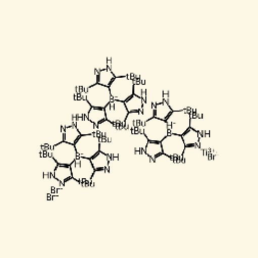 CC(C)(C)c1n[nH]c(C(C)(C)C)c1[BH-](c1c(C(C)(C)C)n[nH]c1C(C)(C)C)c1c(C(C)(C)C)n[nH]c1C(C)(C)C.CC(C)(C)c1n[nH]c(C(C)(C)C)c1[BH-](c1c(C(C)(C)C)n[nH]c1C(C)(C)C)c1c(C(C)(C)C)n[nH]c1C(C)(C)C.CC(C)(C)c1n[nH]c(C(C)(C)C)c1[BH-](c1c(C(C)(C)C)n[nH]c1C(C)(C)C)c1c(C(C)(C)C)n[nH]c1C(C)(C)C.[Br-].[Br-].[Br-].[Ti+3]